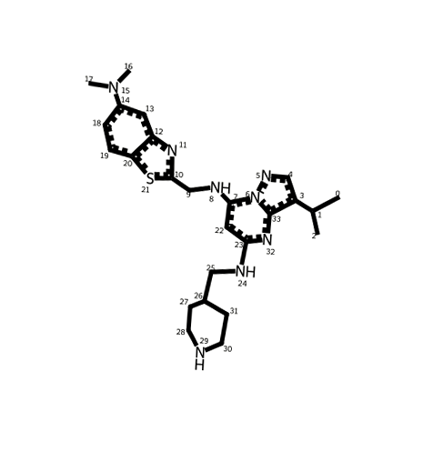 CC(C)c1cnn2c(NCc3nc4cc(N(C)C)ccc4s3)cc(NCC3CCNCC3)nc12